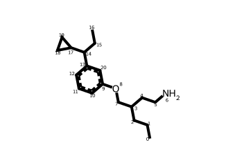 CCCC(CCN)COc1cccc(C(CC)C2CC2)c1